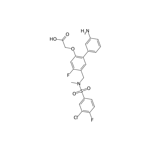 CN(Cc1cc(-c2cccc(N)c2)c(OCC(=O)O)cc1F)S(=O)(=O)c1ccc(F)c(Cl)c1